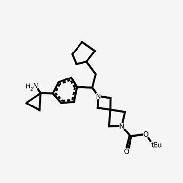 CC(C)(C)OC(=O)N1CC2(C1)CN(C(CC1CCCC1)c1ccc(C3(N)CC3)cc1)C2